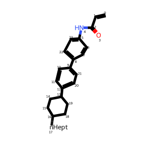 C=CC(=O)Nc1ccc(-c2ccc(C3CCC(CCCCCCC)CC3)cc2)cc1